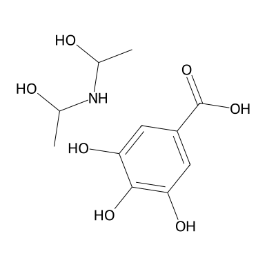 CC(O)NC(C)O.O=C(O)c1cc(O)c(O)c(O)c1